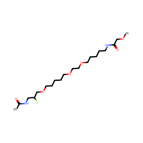 CC(C)OCC(=O)NCCCCCOCCOCCCCCOCC(F)CNC(=O)C(C)C